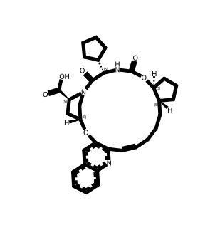 O=C1N[C@@H](C2CCCC2)C(=O)N2C[C@@H](C[C@H]2C(=O)O)Oc2cc3ccccc3nc2C=CCCC[C@H]2CCC[C@@H]2O1